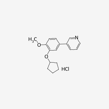 COc1ccc(-c2cccnc2)cc1OC1CCCC1.Cl